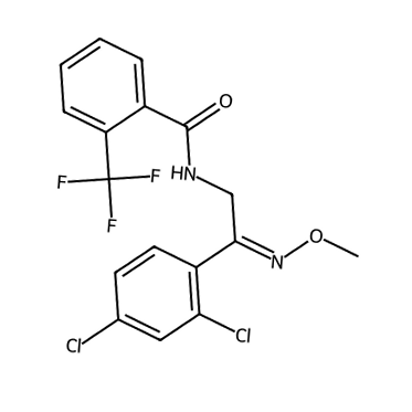 CO/N=C(\CNC(=O)c1ccccc1C(F)(F)F)c1ccc(Cl)cc1Cl